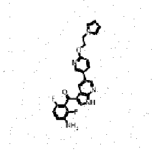 Nc1ccc(F)c(C(=O)c2c[nH]c3ncc(-c4ccc(OCCn5cccc5)nc4)cc23)c1F